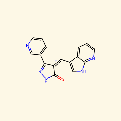 O=C1NN=C(c2cccnc2)/C1=C/c1c[nH]c2ncccc12